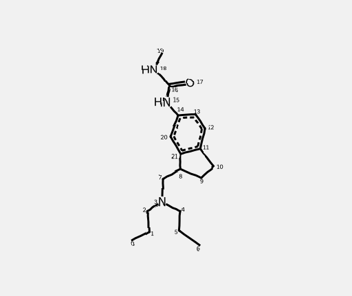 CCCN(CCC)CC1CCc2ccc(NC(=O)NC)cc21